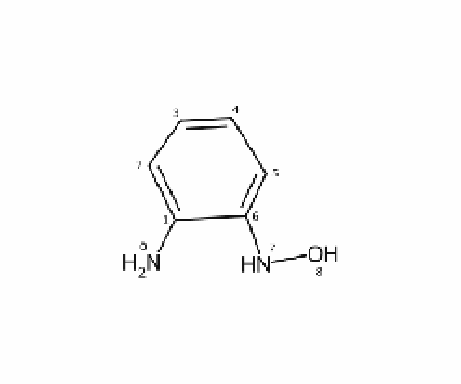 Nc1ccccc1NO